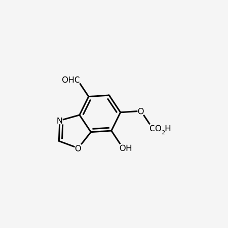 O=Cc1cc(OC(=O)O)c(O)c2ocnc12